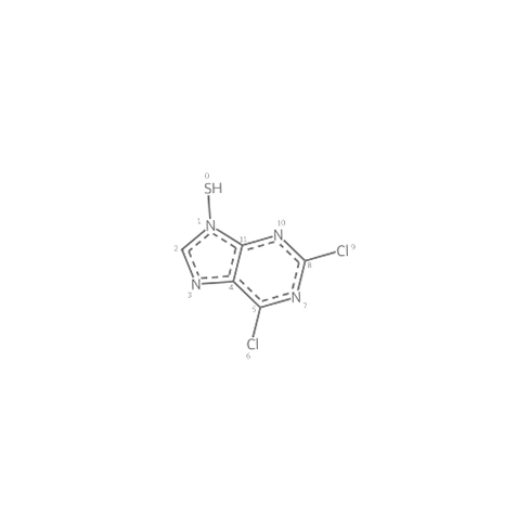 Sn1cnc2c(Cl)nc(Cl)nc21